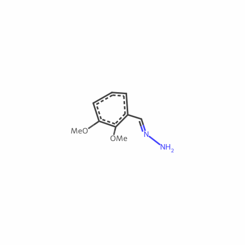 COc1cccc(C=NN)c1OC